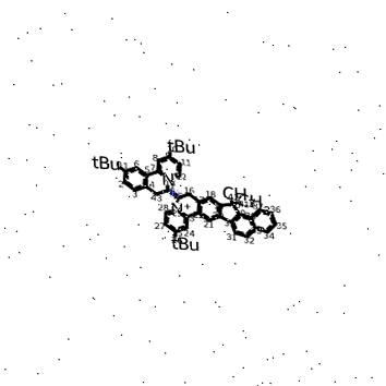 CC(C)(C)c1ccc2c(c1)-c1cc(C(C)(C)C)cc[n+]1/C(=C1\Cc3cc4c(cc3-c3cc(C(C)(C)C)cc[n+]31)-c1ccc3ccccc3c1C4(C)C)C2